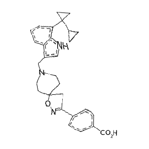 O=C(O)c1ccc(C2=NOC3(CCN(Cc4c[nH]c5c(C6(C7CC7)CC6)cccc45)CC3)C2)cc1